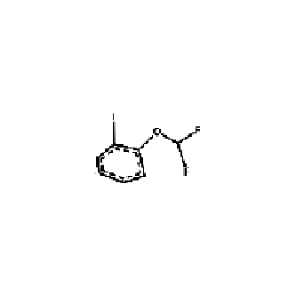 FC(F)Oc1cc[c]cc1I